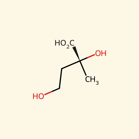 C[C@@](O)(CCO)C(=O)O